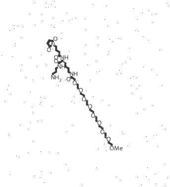 COCCOCCOCCOCCOCCOCCOCCOCCOCC(=O)NCCCC[C@H](NC(=O)CCCN1C(=O)C=CC1=O)C(=O)NCCCN